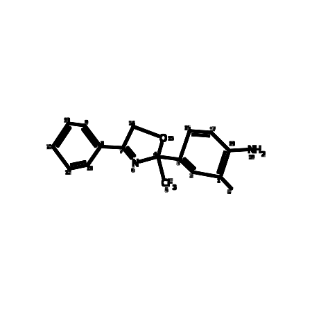 Cc1cc(C2(C(F)(F)F)N=C(c3ccccc3)CO2)ccc1N